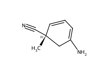 C[C@@]1(C#N)C=CC=C(N)C1